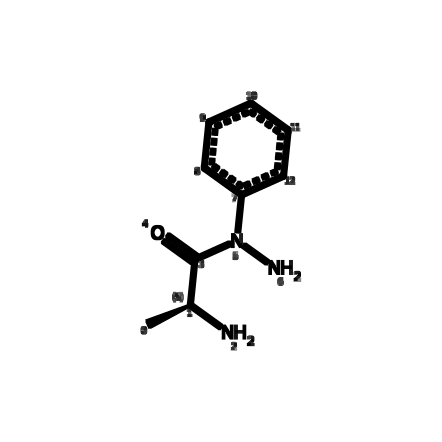 C[C@H](N)C(=O)N(N)c1ccccc1